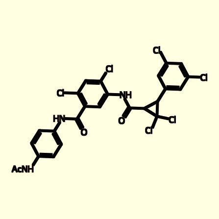 CC(=O)Nc1ccc(NC(=O)c2cc(NC(=O)C3C(c4cc(Cl)cc(Cl)c4)C3(Cl)Cl)c(Cl)cc2Cl)cc1